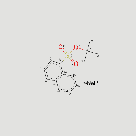 CC(C)(C)OS(=O)(=O)c1cccc2ccccc12.[NaH]